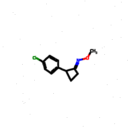 CON=C1CCC1c1ccc(Cl)cc1